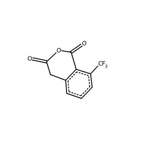 O=C1Cc2cccc(C(F)(F)F)c2C(=O)O1